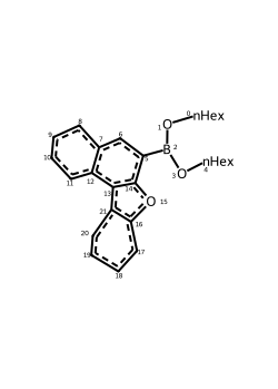 CCCCCCOB(OCCCCCC)c1cc2ccccc2c2c1oc1ccccc12